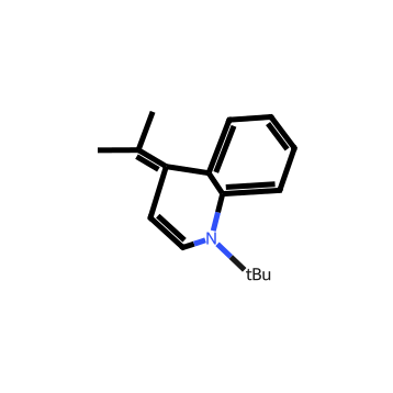 CC(C)=C1C=CN(C(C)(C)C)c2ccccc21